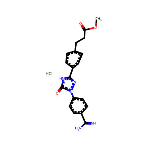 COC(=O)CCc1ccc(-c2nn(-c3ccc(C(=N)N)cc3)c(=O)[nH]2)cc1.Cl